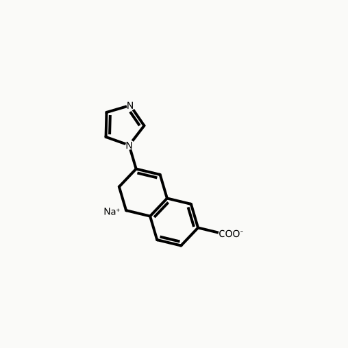 O=C([O-])c1ccc2c(c1)C=C(n1ccnc1)CC2.[Na+]